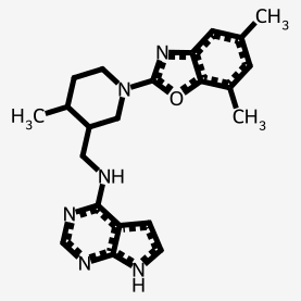 Cc1cc(C)c2oc(N3CCC(C)C(CNc4ncnc5[nH]ccc45)C3)nc2c1